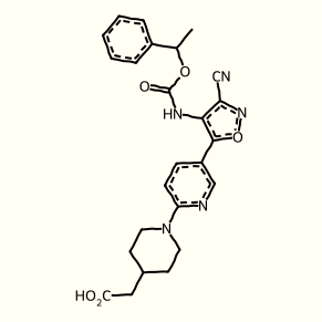 CC(OC(=O)Nc1c(C#N)noc1-c1ccc(N2CCC(CC(=O)O)CC2)nc1)c1ccccc1